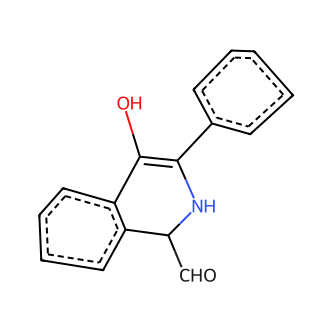 O=CC1NC(c2ccccc2)=C(O)c2ccccc21